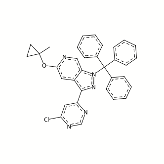 CC1(Oc2cc3c(-c4cc(Cl)ncn4)nn(C(c4ccccc4)(c4ccccc4)c4ccccc4)c3cn2)CC1